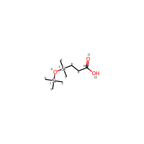 C[Si](C)(C)O[Si](C)(C)CCC(=O)O